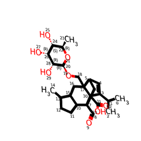 CC(C)C1=CC2CC3(C=O)C4CCC(C)C4CC2(CO[C@@H]2O[C@H](C)[C@@H](O)[C@@H](O)[C@H]2O)C13C(=O)O